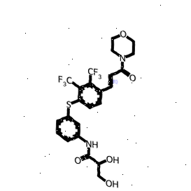 O=C(Nc1cccc(Sc2ccc(/C=C/C(=O)N3CCOCC3)c(C(F)(F)F)c2C(F)(F)F)c1)C(O)CO